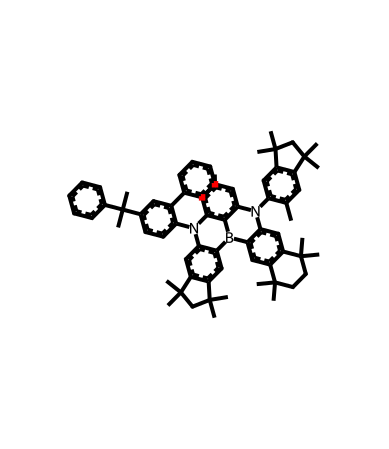 Cc1cc2c3c(c1)N(c1ccc(C(C)(C)c4ccccc4)cc1-c1ccccc1)c1cc4c(cc1B3c1cc3c(cc1N2c1cc2c(cc1C)C(C)(C)CC2(C)C)C(C)(C)CCC3(C)C)C(C)(C)CC4(C)C